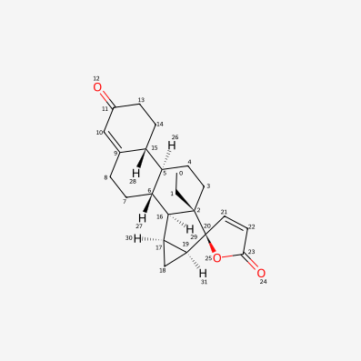 CC[C@]12CC[C@H]3[C@@H](CCC4=CC(=O)CC[C@@H]43)[C@@H]1[C@@H]1C[C@@H]1[C@@]21C=CC(=O)O1